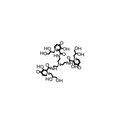 O=C(NCCN(CCNC(=O)c1c(O)c(=O)ccn1CC(O)CO)CCNC(=O)c1c(O)c(=O)ccn1CC(O)CO)c1c(O)c(=O)ccn1CC(O)CO